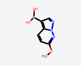 COc1ccc2c(B(O)O)cnn2n1